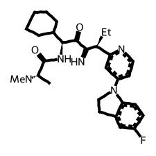 CC[C@H](C(=N)C(=O)[C@@H](NC(=O)[C@H](C)NC)C1CCCCC1)c1cc(N2CCc3cc(F)ccc32)ccn1